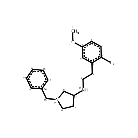 COc1ccc(I)c(CCNC2CCN(Cc3ccccc3)C2)c1